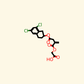 C=C(CC(=O)OC1CCc2cc(Cl)cc(Cl)c2C1)C(=O)OCC(=O)O